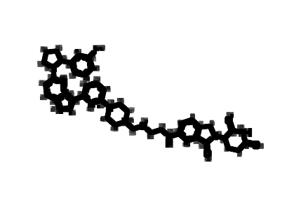 O=C1CCC(N2Cc3ccc(NCCOCN4CCN(c5cccc(-c6cnc7ccc(N8CCCC8c8cccc(F)c8)nn67)n5)CC4)cc3C2=O)C(=O)N1